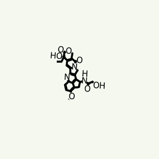 CC[C@@]1(O)C(=O)OCc2c1cc1n(c2=O)Cc2c-1nc1ccc(OC)c3c1c2C(NC(=O)CO)C3